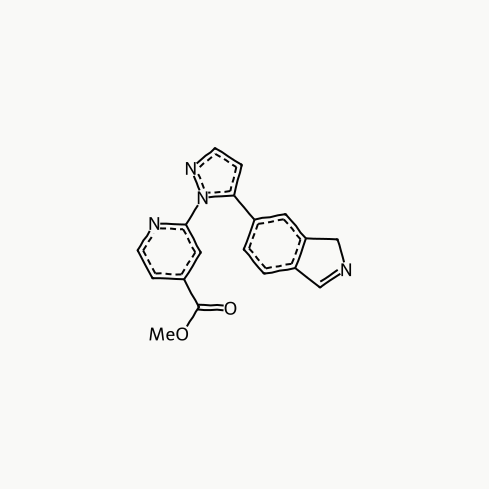 COC(=O)c1ccnc(-n2nccc2-c2ccc3c(c2)CN=C3)c1